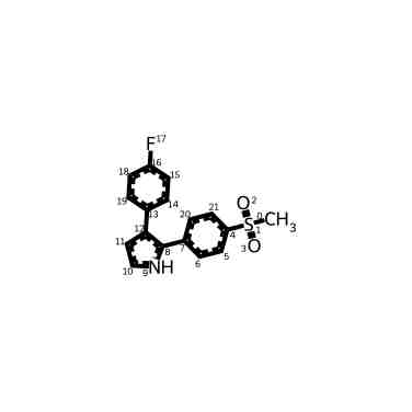 CS(=O)(=O)c1ccc(-c2[nH]ccc2-c2ccc(F)cc2)cc1